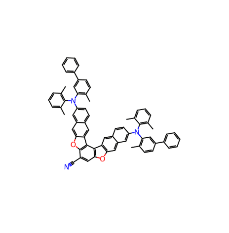 Cc1ccc(-c2ccccc2)cc1N(c1ccc2cc3c(cc2c1)oc1cc(C#N)c2oc4cc5cc(N(c6cc(-c7ccccc7)ccc6C)c6c(C)cccc6C)ccc5cc4c2c13)c1c(C)cccc1C